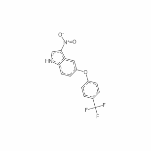 O=[N+]([O-])c1c[nH]c2ccc(Oc3ccc(C(F)(F)F)cc3)cc12